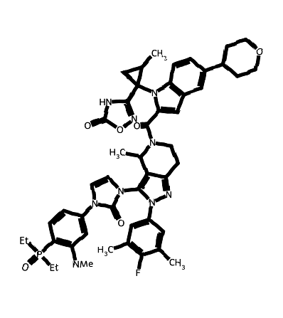 CCP(=O)(CC)c1ccc(-n2ccn(-c3c4c(nn3-c3cc(C)c(F)c(C)c3)CCN(C(=O)c3cc5cc(C6CCOCC6)ccc5n3C3(c5noc(=O)[nH]5)CC3C)C4C)c2=O)cc1NC